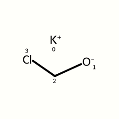 [K+].[O-]CCl